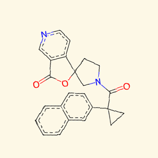 O=C1OC2(CCN(C(=O)C3(c4ccc5ccccc5c4)CC3)C2)c2ccncc21